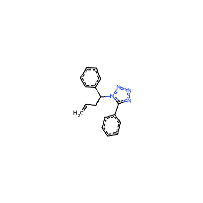 C=CCC(c1ccccc1)n1nnnc1-c1ccccc1